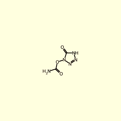 NC(=O)On1nn[nH]c1=O